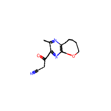 Cc1nc2c(nc1C(=O)CC#N)OCCC2